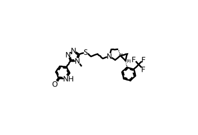 Cn1c(SCCCN2CC[C@@]3(C[C@@H]3c3ccccc3C(F)(F)F)C2)nnc1-c1ccc(=O)[nH]c1